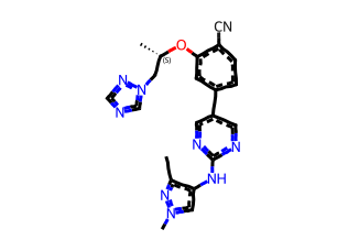 Cc1nn(C)cc1Nc1ncc(-c2ccc(C#N)c(O[C@@H](C)Cn3cncn3)c2)cn1